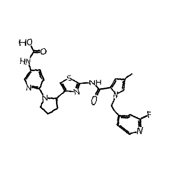 Cc1cc(C(=O)Nc2nc(C3CCCN3c3ccc(NC(=O)O)cn3)cs2)n(Cc2ccnc(F)c2)c1